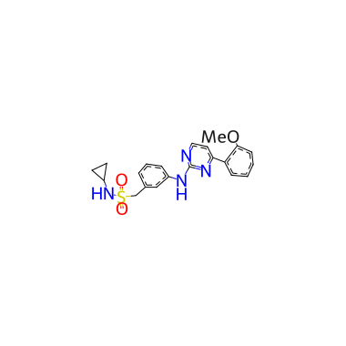 COc1ccccc1-c1ccnc(Nc2cccc(CS(=O)(=O)NC3CC3)c2)n1